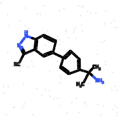 CC(C)(N)c1ccc(-c2ccc3[nH]nc(C#N)c3c2)cc1